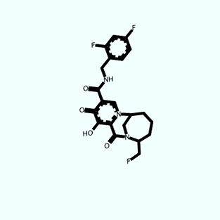 O=C(NCc1ccc(F)cc1F)c1cn2c(c(O)c1=O)C(=O)N1CC2CCCC1CF